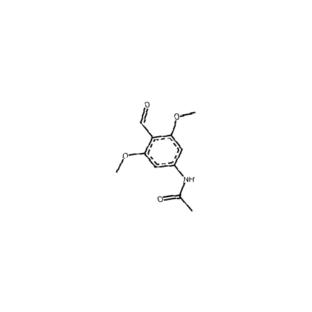 COc1cc(NC(C)=O)cc(OC)c1C=O